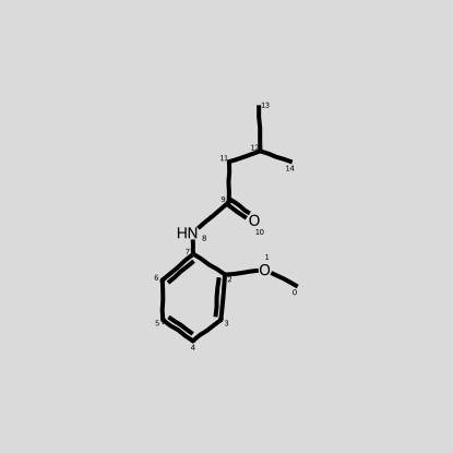 COc1cc[c]cc1NC(=O)CC(C)C